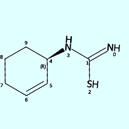 N=C(S)N[C@H]1C=CCCC1